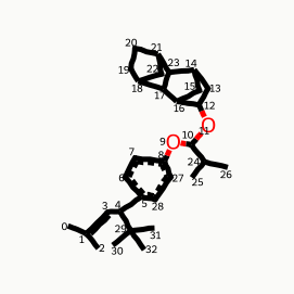 CC(C)=CC(c1ccc(OC(OC2CC3CC2C2C4CCC(C4)C32)C(C)C)cc1)C(C)(C)C